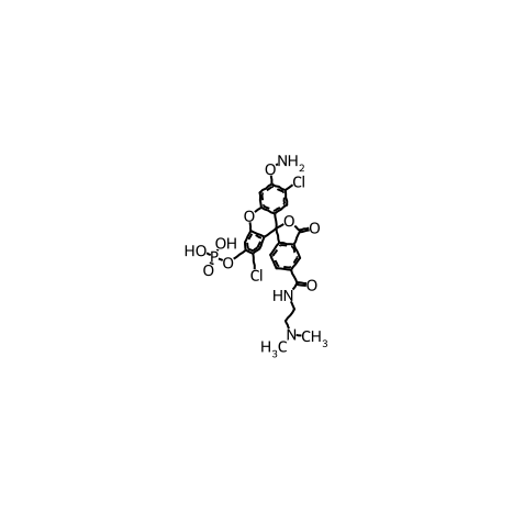 CN(C)CCNC(=O)c1ccc2c(c1)C(=O)OC21c2cc(Cl)c(ON)cc2Oc2cc(OP(=O)(O)O)c(Cl)cc21